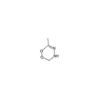 CC1=NNCOO1